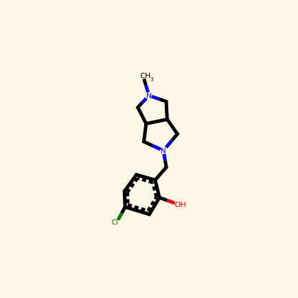 CN1CC2CN(Cc3ccc(Cl)cc3O)CC2C1